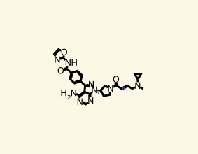 CN(C/C=C/C(=O)N1CC[C@@H](n2nc(-c3ccc(C(=O)Nc4ncco4)cc3)c3c(N)ncnc32)C1)C1CC1